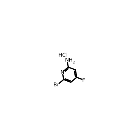 Cl.Nc1cc(F)cc(Br)n1